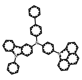 c1ccc(-c2ccc(N(c3ccc(-n4c5cccc6ccc7cccc4c7c65)cc3)c3ccc4c(c3)c3ccccc3n4-c3ccccc3)cc2)cc1